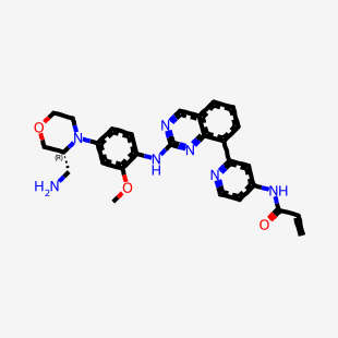 C=CC(=O)Nc1ccnc(-c2cccc3cnc(Nc4ccc(N5CCOC[C@H]5CN)cc4OC)nc23)c1